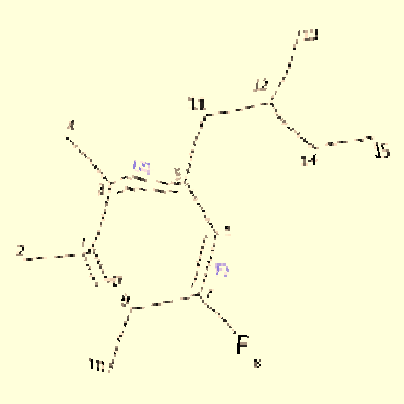 C=C(C)/C(C)=C(\C=C(\F)CC)CC(C)CC